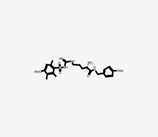 COc1ccc(CNC(=O)[C@@H](N)CCCNC(=N)NS(=O)(=O)c2c(C)cc(OC)c(C)c2C)cc1